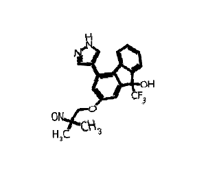 CC(C)(COc1cc(-c2cn[nH]c2)c2c(c1)C(O)(C(F)(F)F)c1ccccc1-2)N=O